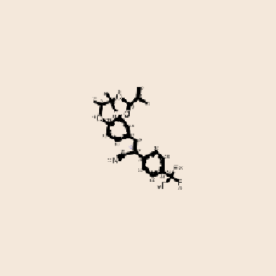 C=C(C)C(=O)OC(C)(C)C(C)Oc1ccc(/C=C(\C#N)c2ccc(C(F)(F)F)cc2)cc1